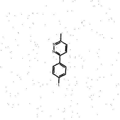 Cc1ccc(-c2ccc(I)cc2)nn1